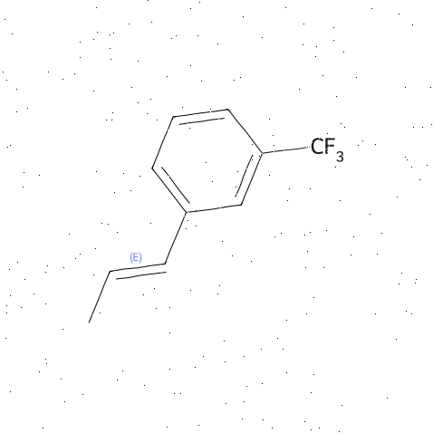 C/C=C/c1cccc(C(F)(F)F)c1